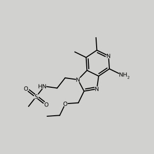 CCOCc1nc2c(N)nc(C)c(C)c2n1CCNS(C)(=O)=O